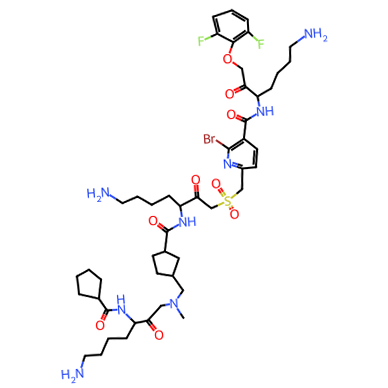 CN(CC(=O)C(CCCCN)NC(=O)C1CCCC1)CC1CCC(C(=O)NC(CCCCN)C(=O)CS(=O)(=O)Cc2ccc(C(=O)NC(CCCCN)C(=O)COc3c(F)cccc3F)c(Br)n2)C1